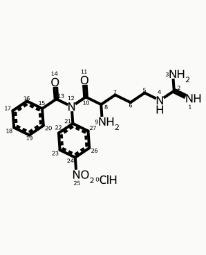 Cl.N=C(N)NCCCC(N)C(=O)N(C(=O)c1ccccc1)c1ccc([N+](=O)[O-])cc1